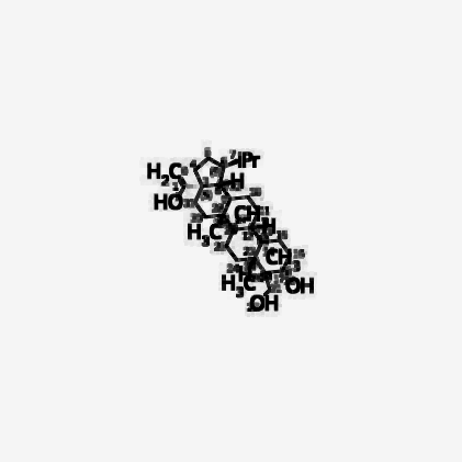 C=C(O)[C@]12CC[C@@H](C(C)C)[C@@H]1C1CC[C@@H]3[C@@]4(C)CC[C@H](O)[C@@](C)(CO)[C@@H]4CC[C@@]3(C)[C@]1(C)CC2